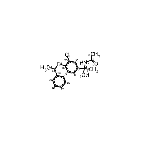 CC(=O)NC(C)(O)c1ccc(OC(C)c2ccccc2)c(Cl)c1